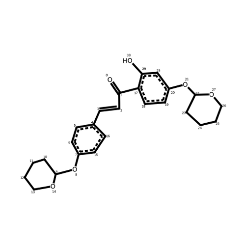 O=C(C=Cc1ccc(OC2CCCCO2)cc1)c1ccc(OC2CCCCO2)cc1O